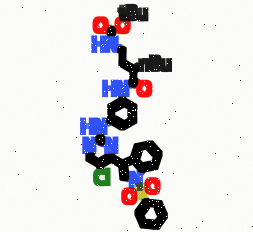 CCCCC(CCNC(=O)OC(C)(C)C)C(=O)Nc1cccc(Nc2ncc(Cl)c(-c3cn(S(=O)(=O)c4ccccc4)c4ccccc34)n2)c1